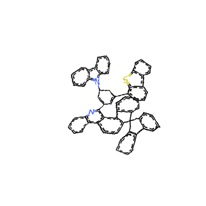 C1=C(c2cccc3c2sc2ccccc23)CC(n2c3ccccc3c3ccccc32)C=C1c1nc2ccccc2c2ccc3c(c12)-c1ccccc1C31c2ccccc2-c2ccccc21